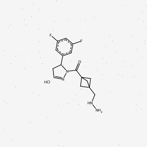 Cl.NNCC12CC(C(=O)N3N=CCC3c3cc(F)cc(F)c3)(C1)C2